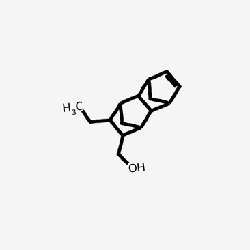 CCC1C(CO)C2CC1C1C3C=CC(C3)C21